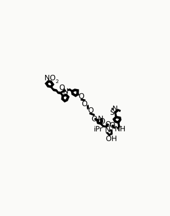 Cc1ncsc1-c1ccc([C@H](C)NC(=O)[C@@H]2C[C@@H](O)CN2C(=O)[C@@H](c2cc(OCCOCCOCCOc3ccc(CN4C(=O)/C(=C\C=C\c5ccc([N+](=O)[O-])cc5)c5ccccc54)cc3)no2)C(C)C)cc1